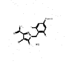 CCOc1cc(F)c(Cn2nc(C(=N)N)c(Cl)c2C)c(F)c1.Cl